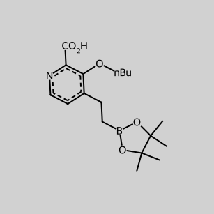 CCCCOc1c(CCB2OC(C)(C)C(C)(C)O2)ccnc1C(=O)O